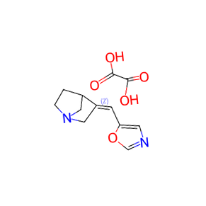 C(=C1/CN2CCC1C2)/c1cnco1.O=C(O)C(=O)O